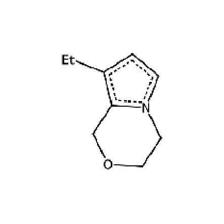 CCc1ccn2c1COCC2